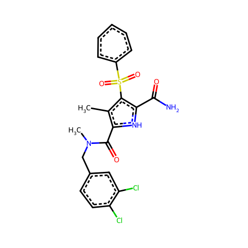 Cc1c(C(=O)N(C)Cc2ccc(Cl)c(Cl)c2)[nH]c(C(N)=O)c1S(=O)(=O)c1ccccc1